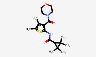 Cc1sc(NC(=O)C2C(C)(C)C2(C)C)c(C(=O)N2CCOCC2)c1C